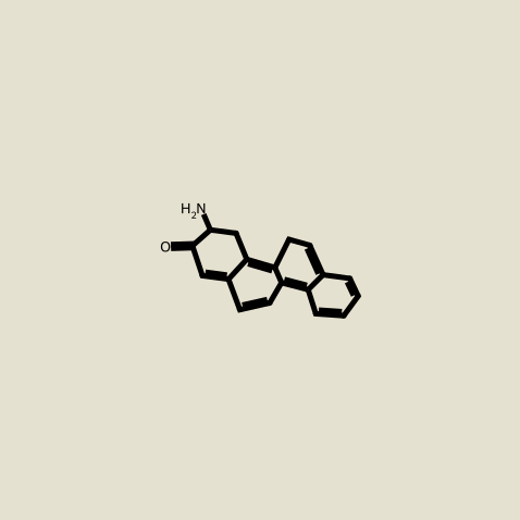 NC1Cc2c3c(ccc2=CC1=O)=c1ccccc1=CC3